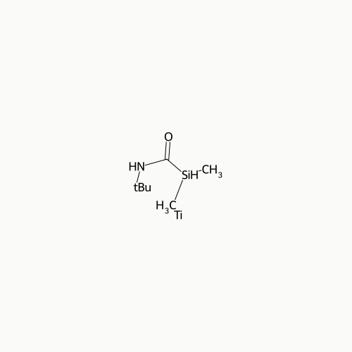 C[SiH](C)C(=O)NC(C)(C)C.[Ti]